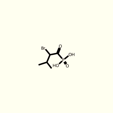 CC(C)C(Br)C(=O)P(=O)(O)O